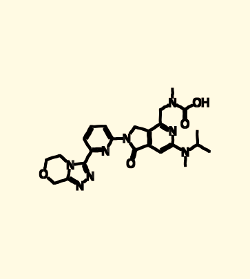 CC(C)N(C)c1cc2c(c(CN(C)C(=O)O)n1)CN(c1cccc(-c3nnc4n3CCOC4)n1)C2=O